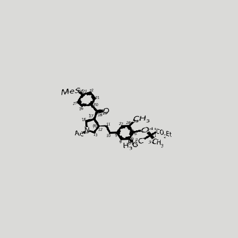 CCOC(=O)C(C)(C)Oc1c(C)cc(CC[C@H]2CN(C(C)=O)CC2C(=O)c2ccc(SC)cc2)cc1C